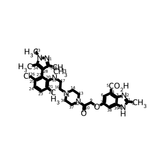 Cc1nc2c(C(=O)O)cc(OCC(=O)N3CCN(CCN(C)c4c(C)ccc(Cl)c4-c4c(C)nn(C)c4C)CC3)cc2[nH]1